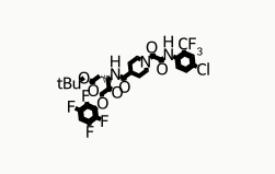 CC(C)(C)OC(=O)C[C@H](NC(=O)C1CCN(C(=O)C(=O)Nc2ccc(Cl)cc2C(F)(F)F)CC1)C(=O)COc1c(F)c(F)cc(F)c1F